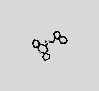 c1ccc2c(c1)OC1(CCCC1)CC2NCc1cccc2ccccc12